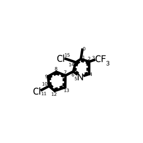 Cc1c(C(F)(F)F)cnc(-c2ccc(Cl)cc2)c1Cl